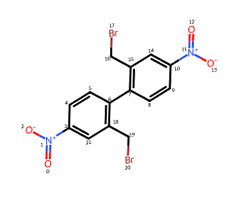 O=[N+]([O-])c1ccc(-c2ccc([N+](=O)[O-])cc2CBr)c(CBr)c1